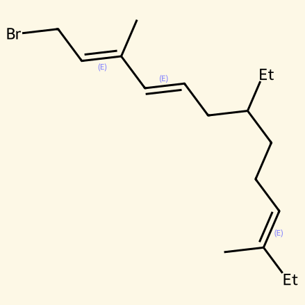 CC/C(C)=C/CCC(CC)C/C=C/C(C)=C/CBr